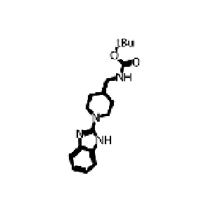 CC(C)(C)OC(=O)NCC1CCN(c2nc3ccccc3[nH]2)CC1